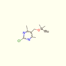 Cc1nc(Cl)nc(C)c1CO[Si](C)(C)C(C)(C)C